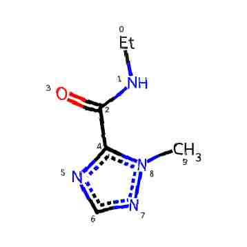 CCNC(=O)c1ncnn1C